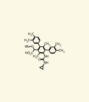 Cc1ccc(-c2c(C)c(-c3ccc(C)c(C)c3)c(C(OC(C)(C)C)C(=O)O)c(C)c2NC(=O)NC2CC2)cc1C